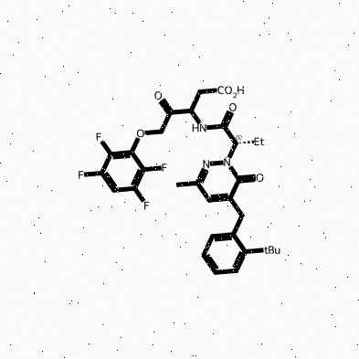 CC[C@@H](C(=O)NC(CC(=O)O)C(=O)COc1c(F)c(F)cc(F)c1F)n1nc(C)cc(Cc2ccccc2C(C)(C)C)c1=O